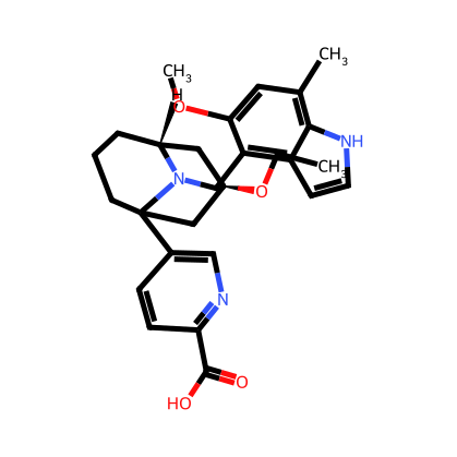 CCO[C@@H]1C[C@H]2CCCC(c3ccc(C(=O)O)nc3)(C1)N2Cc1c(OC)cc(C)c2[nH]ccc12